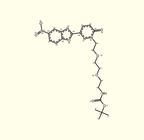 CC(C)(C)OC(=O)NCCOCCOCCn1nc(-c2nc3cc([N+](=O)[O-])ccc3o2)ccc1=O